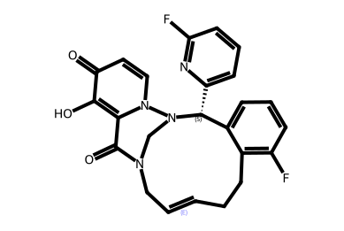 O=C1c2c(O)c(=O)ccn2N2CN1C/C=C/CCc1c(F)cccc1[C@H]2c1cccc(F)n1